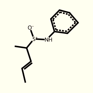 CC=CC(C)[S+]([O-])Nc1ccccc1